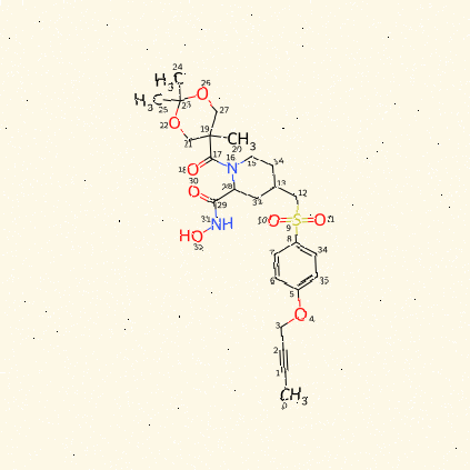 CC#CCOc1ccc(S(=O)(=O)CC2CCN(C(=O)C3(C)COC(C)(C)OC3)C(C(=O)NO)C2)cc1